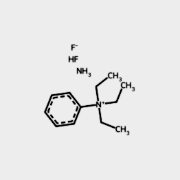 CC[N+](CC)(CC)c1ccccc1.F.N.[F-]